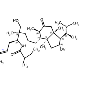 C/C=C/C[C@H](NC(=O)C(C)CC)[C@@](C)(CO)CCC[C@@H]1[C@@H](C)C(=O)C[C@]2(C)[C@@H]([C@H](C)N(C)C)[C@H](O)C[C@@]12C